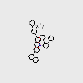 CC1(C)c2ccccc2-c2ccc(-c3ccc(N(c4ccc(-c5cccc6ccccc56)cc4)c4cccc(-c5ccccc5)c4-c4ccccc4-c4ccccc4)cc3)cc21